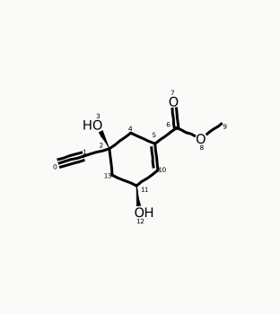 C#C[C@]1(O)CC(C(=O)OC)=C[C@@H](O)C1